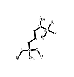 CCCCN(CCC[Si](C)(OCC)OCC)[Si](C(C)C)(C(C)C)C(C)C